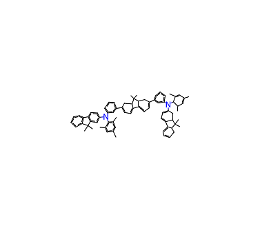 CC1=CC(C)C(N(C2=CC=C3C4=CC=CCC4C(C)(C)C3C2)c2cccc(C3=CC=C4C5=CC=C(c6cccc(N(c7ccc8c(c7)C(C)(C)c7ccccc7-8)c7c(C)cc(C)cc7C)c6)CC5C(C)(C)C4C3)c2)C(C)=C1